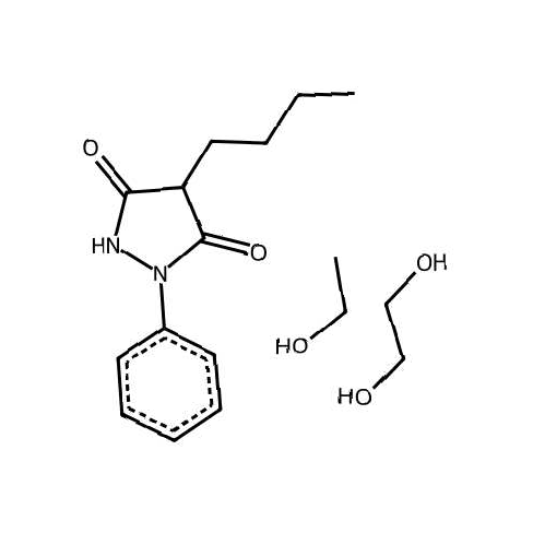 CCCCC1C(=O)NN(c2ccccc2)C1=O.CCO.OCCO